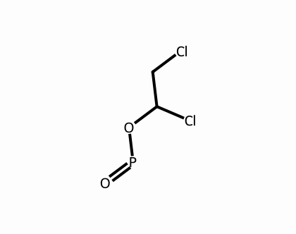 O=POC(Cl)CCl